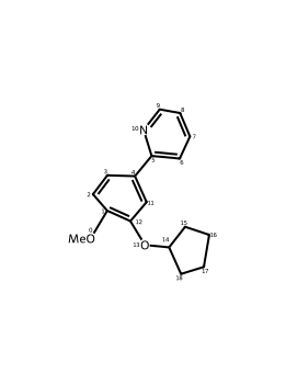 COc1ccc(-c2ccccn2)cc1OC1CCCC1